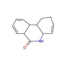 O=C1NC2C=CCCC2C2C=CC=CC12